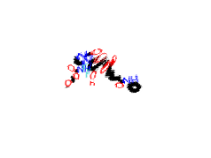 COCCOC(=O)Nc1ccnc(=O)n1[C@@H]1O[C@H](COC(=O)CCCCC(=O)Nc2ccccc2)[C@@H](O)C1(F)F